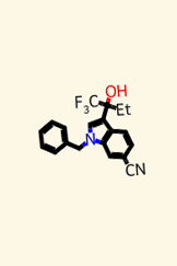 CCC(O)(c1cn(Cc2ccccc2)c2cc(C#N)ccc12)C(F)(F)F